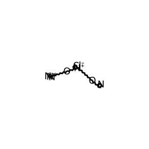 [Cl-].[N-]=[N+]=NCCCCCCCCOCCCc1ccc[n+](CCCCCCCCCCOCCCc2cccnc2)c1